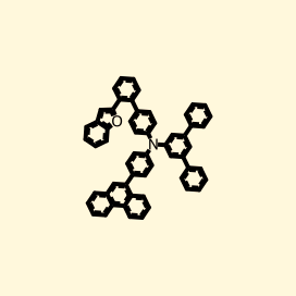 c1ccc(-c2cc(-c3ccccc3)cc(N(c3ccc(-c4ccccc4-c4cc5ccccc5o4)cc3)c3ccc(-c4cc5ccccc5c5ccccc45)cc3)c2)cc1